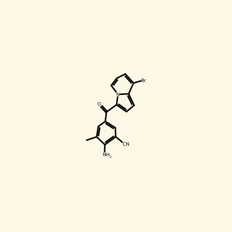 Cc1cc(C(=O)c2ccc3c(Br)cccn23)cc(C#N)c1N